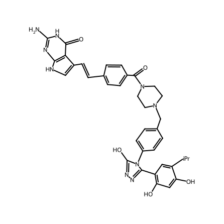 CC(C)c1cc(-c2nnc(O)n2-c2ccc(CN3CCN(C(=O)c4ccc(C=Cc5c[nH]c6nc(N)[nH]c(=O)c56)cc4)CC3)cc2)c(O)cc1O